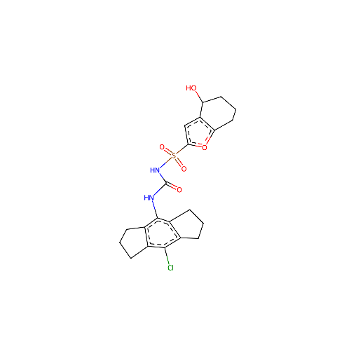 O=C(Nc1c2c(c(Cl)c3c1CCC3)CCC2)NS(=O)(=O)c1cc2c(o1)CCCC2O